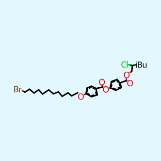 CCC(C)C(Cl)COC(=O)c1ccc(OC(=O)c2ccc(OCCCCCCCCCCCCBr)cc2)cc1